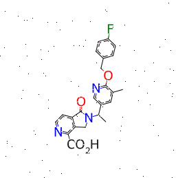 Cc1cc(C(C)N2Cc3c(ccnc3C(=O)O)C2=O)cnc1OCc1ccc(F)cc1